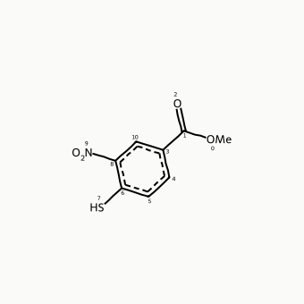 COC(=O)c1ccc(S)c([N+](=O)[O-])c1